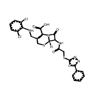 O=C(CSc1nnc(-c2ccccc2)o1)NC1C(=O)N2C(C(=O)O)=C(CNc3c(Cl)cccc3Cl)CS[C@@H]12